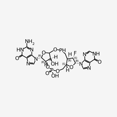 Nc1nc2c(ncn2[C@@H]2OC3OPC[C@H]4[C@H](F)[C@H](n5cnc6c(=O)[nH]cnc65)O[C@@H]4COP(=O)(O)O[C@@H]2[C@@H]3O)c(=O)[nH]1